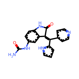 NC(=O)Nc1ccc2c(c1)/C(=C(/c1ccncc1)c1ccc[nH]1)C(=O)N2